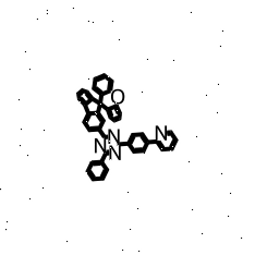 c1ccc(-c2nc(-c3ccc(-c4ccccn4)cc3)nc(-c3ccc4c(c3)C3(c5ccccc5Oc5ccccc53)c3ccccc3-4)n2)cc1